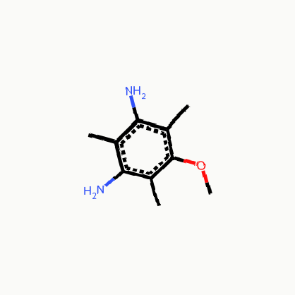 COc1c(C)c(N)c(C)c(N)c1C